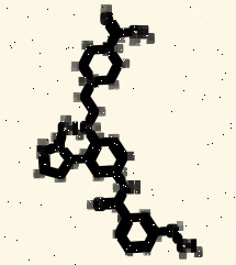 COc1cccc(C(=O)Nc2ccc(OCCN3CCN(C(C)=O)CC3)c(C3CC=NN3C)c2)c1